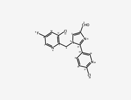 O=Cc1cn(Cc2ncc(F)cc2Cl)c(-c2ccc(Cl)nc2)n1